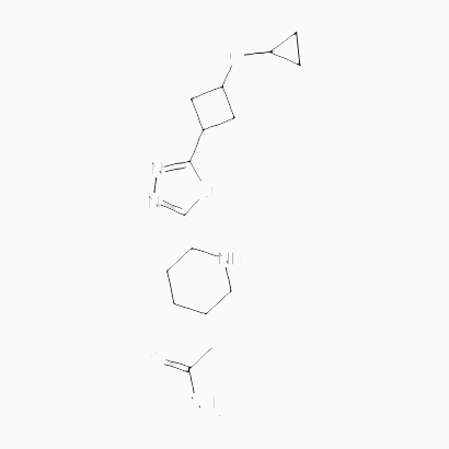 NC(=O)C[C@@H]1CC[C@H](c2nnc(C3CC(OC4CC4)C3)o2)NC1